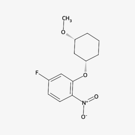 CO[C@@H]1CCC[C@H](Oc2cc(F)ccc2[N+](=O)[O-])C1